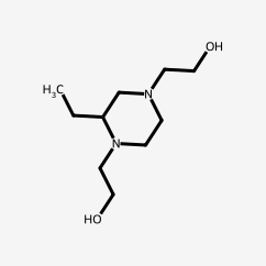 CCC1CN(CCO)CCN1CCO